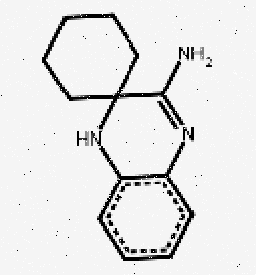 NC1=Nc2ccccc2NC12CCCCC2